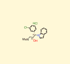 CNC[C@@H](O)[C@H](c1cccc(Cl)c1)n1ccc2ccccc21.Cl